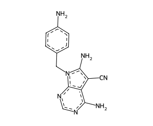 N#Cc1c(N)n(Cc2ccc(N)cc2)c2ncnc(N)c12